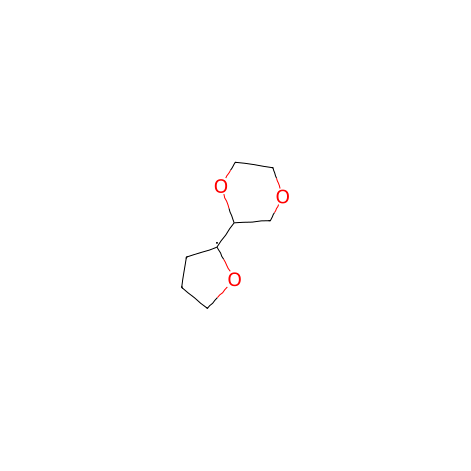 C1CO[C](C2COCCO2)C1